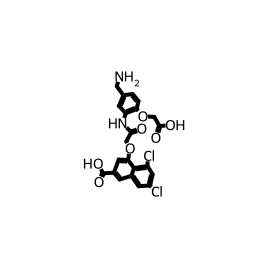 NCc1ccc(OCC(=O)O)c(NC(=O)COc2cc(C(=O)O)cc3cc(Cl)cc(Cl)c23)c1